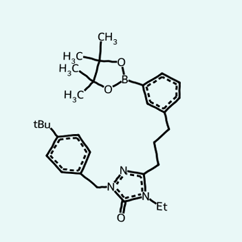 CCn1c(CCCc2cccc(B3OC(C)(C)C(C)(C)O3)c2)nn(Cc2ccc(C(C)(C)C)cc2)c1=O